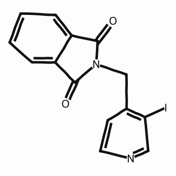 O=C1c2ccccc2C(=O)N1Cc1ccncc1I